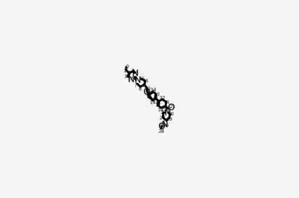 CCc1cnc(N2CCC(COc3ccc(C4=CCC(C(=O)N5CCC(=NOC)CC5)CC4)cc3)CC2)nc1